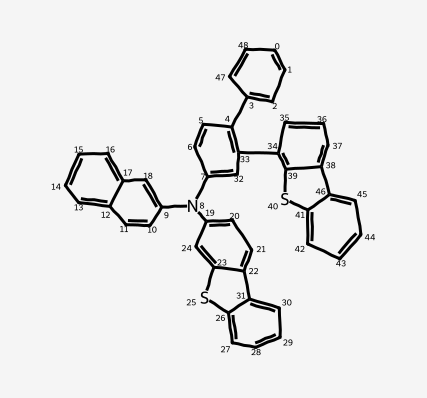 c1ccc(-c2ccc(N(c3ccc4ccccc4c3)c3ccc4c(c3)sc3ccccc34)cc2-c2cccc3c2sc2ccccc23)cc1